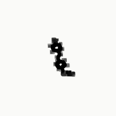 COc1ccc(CCc2ccc(Br)cc2)cc1